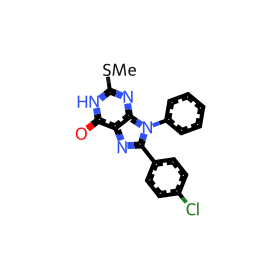 CSc1nc2c(nc(-c3ccc(Cl)cc3)n2-c2ccccc2)c(=O)[nH]1